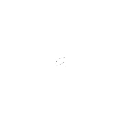 CCOC(C)=O.[BH3-]C#N.[Na+]